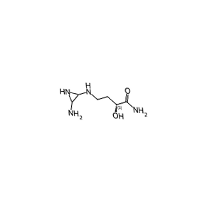 NC(=O)[C@@H](O)CCNC1NC1N